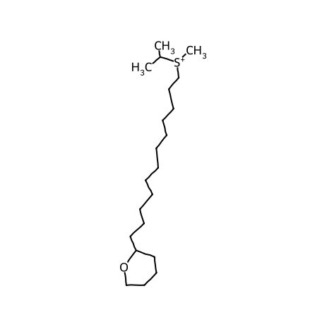 CC(C)[S+](C)CCCCCCCCCCCCC1CCCCO1